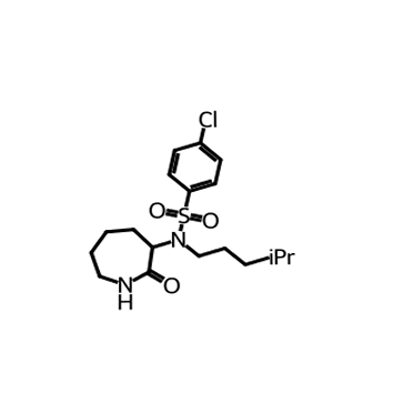 CC(C)CCCN(C1CCCCNC1=O)S(=O)(=O)c1ccc(Cl)cc1